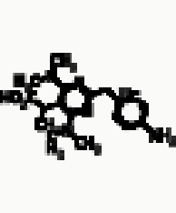 CC(C(=O)O)c1c(N(C)C)nc(Cc2ccc(N)c[13cH]2)nc1N(C)C